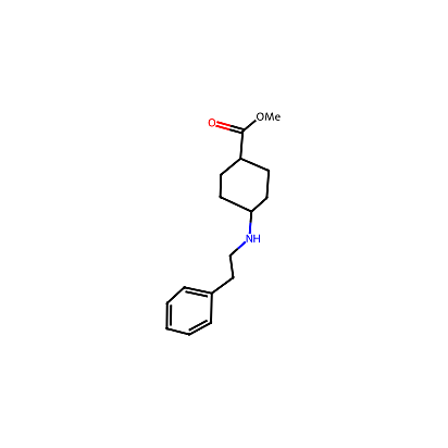 COC(=O)C1CCC(NCCc2ccccc2)CC1